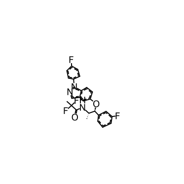 C[C@H](NC(=O)C(C)(F)F)[C@@H](Oc1ccc2c(cnn2-c2ccc(F)cc2)c1)c1cccc(F)c1